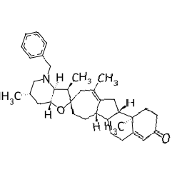 CC1=C2C[C@H]3C(CCC4=CC(=O)CC[C@@]43C)[C@@H]2CC[C@@]2(C1)O[C@@H]1C[C@H](C)CN(Cc3ccccc3)[C@H]1[C@H]2C